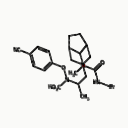 CC(C)NC(=O)N(C)C1C2CCC1CN(CC(C)N(Oc1ccc(C#N)cc1)C(=O)O)C2